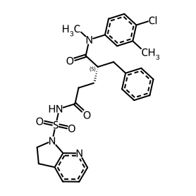 Cc1cc(N(C)C(=O)[C@@H](CCC(=O)NS(=O)(=O)N2CCc3cccnc32)Cc2ccccc2)ccc1Cl